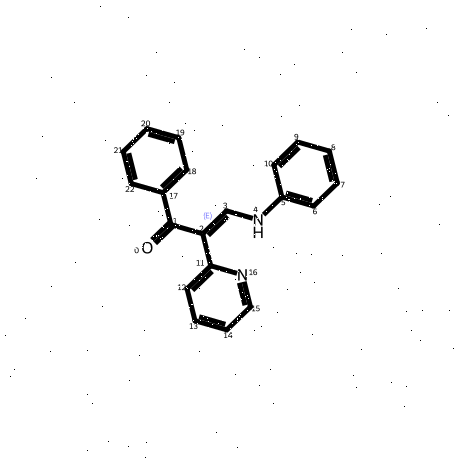 O=C(/C(=C/Nc1ccccc1)c1ccccn1)c1ccccc1